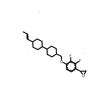 C/C=C/C1CCC(C2CCC(COc3ccc(C4CO4)c(F)c3F)CC2)CC1